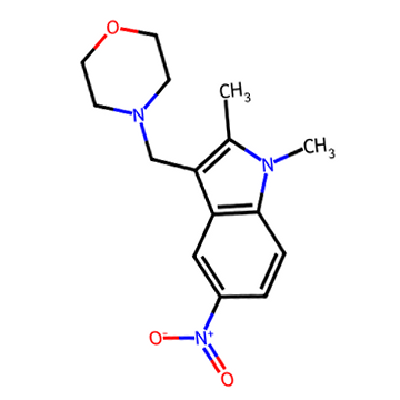 Cc1c(CN2CCOCC2)c2cc([N+](=O)[O-])ccc2n1C